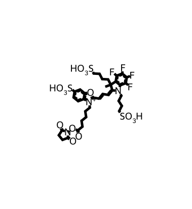 CC1(CCCCS(=O)(=O)O)C(=CC=Cc2oc3cc(S(=O)(=O)O)ccc3[n+]2CCCCCC(=O)ON2C(=O)CCC2=O)N(CCCCS(=O)(=O)O)c2c(F)c(F)c(F)c(F)c21